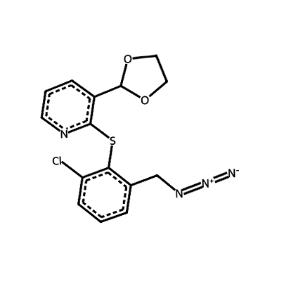 [N-]=[N+]=NCc1cccc(Cl)c1Sc1ncccc1C1OCCO1